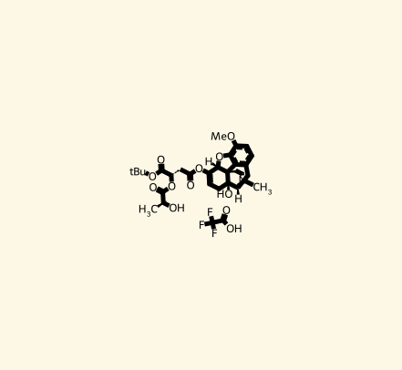 COc1ccc2c3c1O[C@H]1C(OC(=O)C[C@H](OC(=O)[C@H](C)O)C(=O)OC(C)(C)C)=CC[C@@]4(O)[C@@H](C2)N(C)CC[C@]314.O=C(O)C(F)(F)F